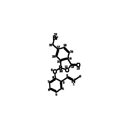 C/N=C/c1ccccc1OB1OC(=O)c2ccc(CBr)cc21